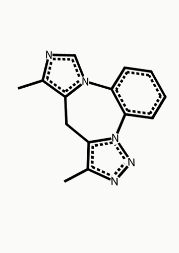 Cc1ncn2c1Cc1c(C)nnn1-c1ccccc1-2